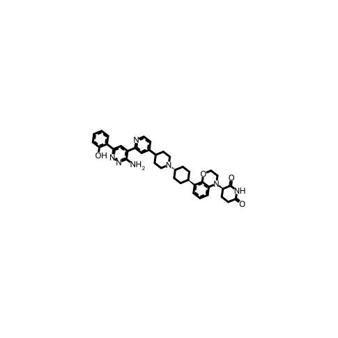 Nc1nnc(-c2ccccc2O)cc1-c1cc(C2CCN([C@H]3CC[C@H](c4cccc5c4OCCN5[C@@H]4CCC(=O)NC4=O)CC3)CC2)ccn1